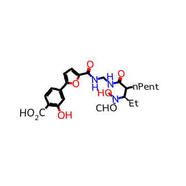 CCCCCC(C(=O)NCNC(=O)c1ccc(-c2ccc(C(=O)O)c(O)c2)o1)[C@@H](CC)N(O)C=O